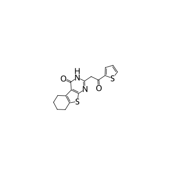 O=C(Cc1nc2sc3c(c2c(=O)[nH]1)CCCC3)c1cccs1